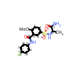 COc1ccc(S(=O)(=O)NC(C)C(N)=O)cc1C(=O)Nc1ccc(F)cc1